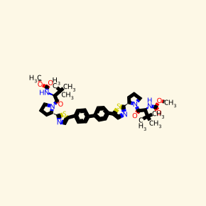 COC(=O)N[C@H](C(=O)N1CCC[C@H]1c1ncc(-c2ccc(-c3ccc(-c4cnc([C@@H]5CCCN5C(=O)[C@@H](NC(=O)OC)C(C)(C)C)s4)cc3)cc2)s1)C(C)(C)C